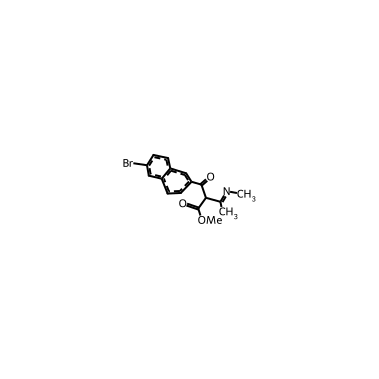 CN=C(C)C(C(=O)OC)C(=O)c1ccc2cc(Br)ccc2c1